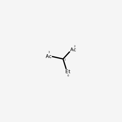 CCC(C(C)=O)C(C)=O